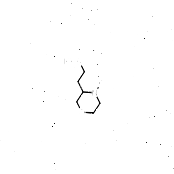 CN1CCOCC1CCC(=O)O